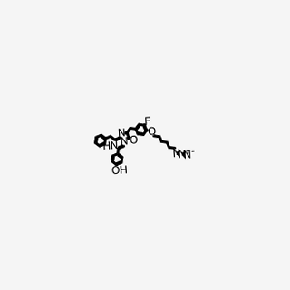 [N-]=[N+]=NCCCCCCOc1ccc(Cc2nc3c(Cc4ccccc4)[nH]c(-c4ccc(O)cc4)cn-3c2=O)cc1F